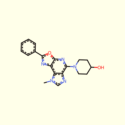 Cn1cnc2c(N3CCC(O)CC3)nc3oc(-c4ccccc4)nc3c21